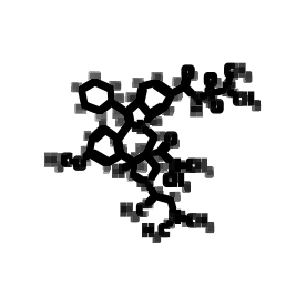 COc1ccc2c(c1)[C@H]1CN(C(C)CN(C)C)C[C@@]1(C(=O)N(C)C)Cn1c-2c(C2CCCCC2)c2ccc(C(=O)NS(=O)(=O)N(C)C)cc21